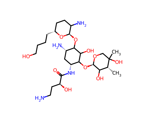 C[C@@H]1C(O)[C@@H](OC2C(O)C(O[C@H]3O[C@H](CCCCO)CCC3N)[C@@H](N)C[C@H]2NC(=O)[C@@H](O)CCN)OCC1(C)O